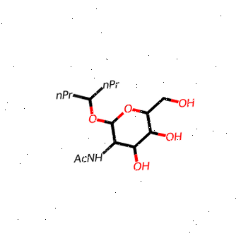 CCCC(CCC)OC1OC(CO)C(O)C(O)C1NC(C)=O